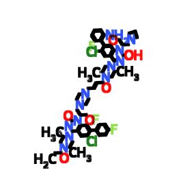 C=CC(=O)N1C[C@H](C)N(c2nc(=O)n3c4c(c(-c5ccc(F)cc5F)c(Cl)cc24)OCC3CN2CCN(C/C=C/C(=O)N3C[C@H](C)N(C4=NC(O)N5c6c4cc(Cl)c(-c4c(N)cccc4F)c6OCC5CN4CCC4)C[C@H]3C)CC2)C[C@H]1C